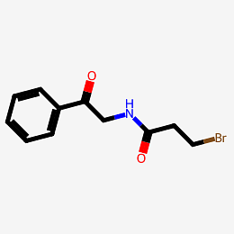 O=C(CCBr)NCC(=O)c1ccccc1